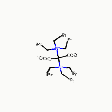 CC(C)C[N+](CC(C)C)(CC(C)C)C(C(=O)[O-])(C(=O)[O-])[N+](CC(C)C)(CC(C)C)CC(C)C